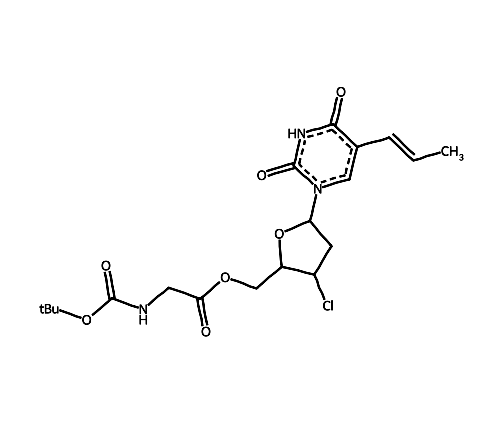 C/C=C/c1cn(C2CC(Cl)C(COC(=O)CNC(=O)OC(C)(C)C)O2)c(=O)[nH]c1=O